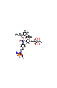 CCCCOc1cc(C#CC(CO)(CO)OC(C)=O)ccc1[C@@H]1C(CC[C@H](OC(C)=O)c2ccc(F)cc2)C(=O)N1c1ccc(CCCNS(C)(=O)=O)cc1